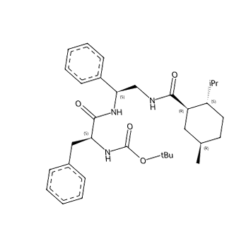 CC(C)[C@@H]1CC[C@@H](C)C[C@H]1C(=O)NC[C@@H](NC(=O)[C@H](Cc1ccccc1)NC(=O)OC(C)(C)C)c1ccccc1